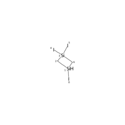 I[SiH]1C[Si](I)(I)C1